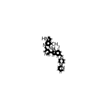 Cc1c(Nc2c(C#N)cncc2-c2cc3cc(CN4CCN(c5ccccn5)CC4)ccc3o2)ccc2[nH]ccc12